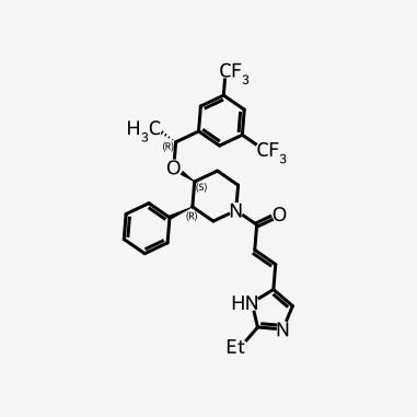 CCc1ncc(C=CC(=O)N2CC[C@H](O[C@H](C)c3cc(C(F)(F)F)cc(C(F)(F)F)c3)[C@H](c3ccccc3)C2)[nH]1